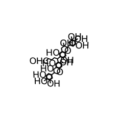 O=CCCCC(c1c(O)cc2c(c1O)CC(O)C(c1cc(O)c(O)c(O)c1)O2)c1c(O)cc2c(c1O)C(O)C(c1cc(O)c(O)c(O)c1)CO2